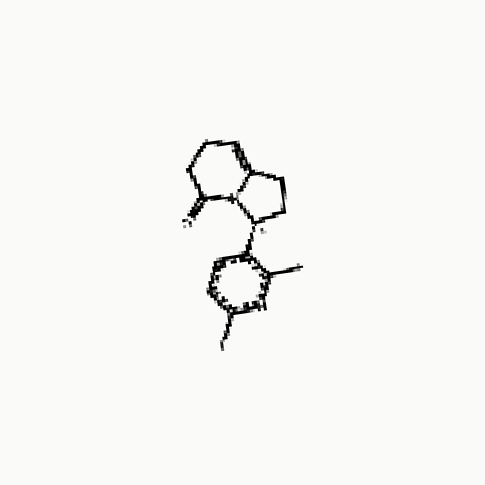 O=C1CCC=C2CC[C@@H](c3ccc(F)nc3F)N12